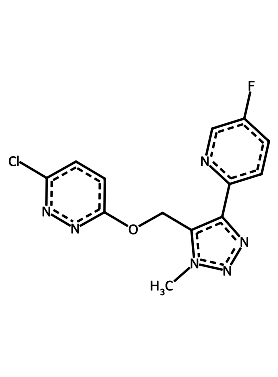 Cn1nnc(-c2ccc(F)cn2)c1COc1ccc(Cl)nn1